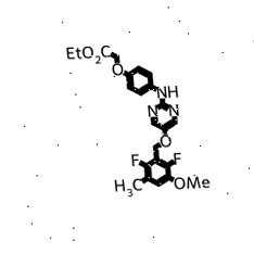 CCOC(=O)COc1ccc(Nc2ncc(OCc3c(F)c(C)cc(OC)c3F)cn2)cc1